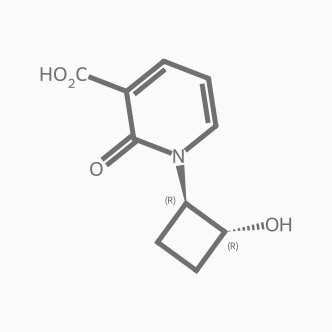 O=C(O)c1cccn([C@@H]2CC[C@H]2O)c1=O